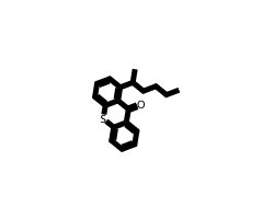 CCCCC(C)c1cccc2sc3ccccc3c(=O)c12